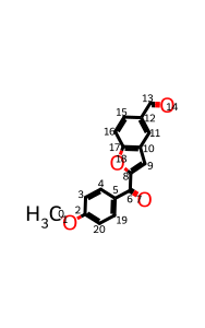 COc1ccc(C(=O)c2cc3cc(C=O)ccc3o2)cc1